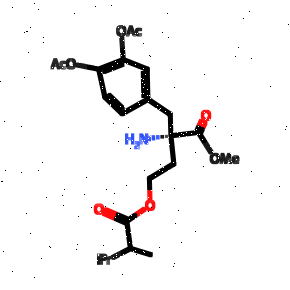 COC(=O)[C@@](N)(CCOC(=O)C(C)C(C)C)Cc1ccc(OC(C)=O)c(OC(C)=O)c1